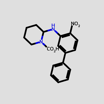 O=C(O)N1CCCCC1Nc1cc(-c2ccccc2)ccc1[N+](=O)[O-]